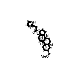 COC[C@H]1CC[C@@]2(C)[C@@H](CC[C@@H]3[C@@H]2CC[C@]2(C)[C@@H](C(=O)Cc4ncc[nH]4)CC[C@@H]32)C1